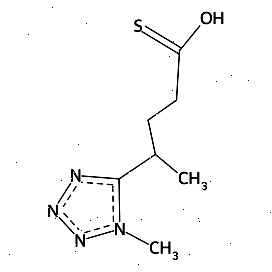 CC(CCC(O)=S)c1nnnn1C